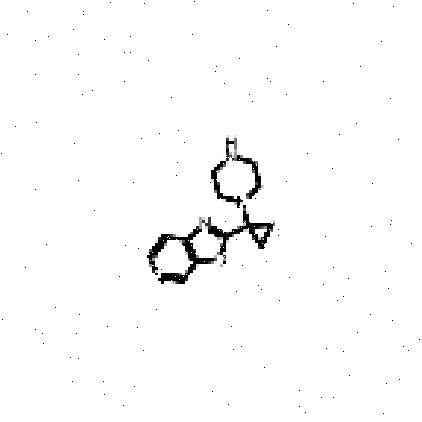 c1cc2nc(C3(N4CCNCC4)CC3)oc2cn1